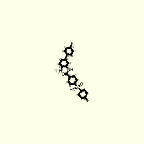 N=S(=O)(c1ccc(F)cc1)c1ccc(C(=O)Nc2cc(-c3ccc(F)cc3)ccc2N)cc1